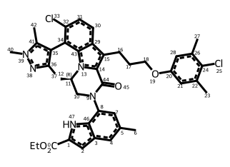 CCOC(=O)c1cc2cc(C)cc(N3C[C@@H](C)n4c(c(CCCOc5cc(C)c(Cl)c(C)c5)c5ccc(Cl)c(-c6c(C)nn(C)c6C)c54)C3=O)c2[nH]1